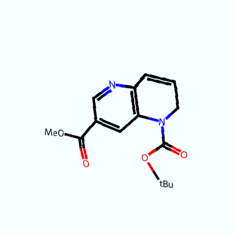 COC(=O)c1cnc2c(c1)N(C(=O)OC(C)(C)C)CC=C2